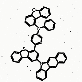 c1ccc(N(c2ccc(-c3cc(-n4c5ccccc5c5cc6ccccc6cc54)cc4c3sc3ccccc34)cc2)c2cccc3oc4ccccc4c23)cc1